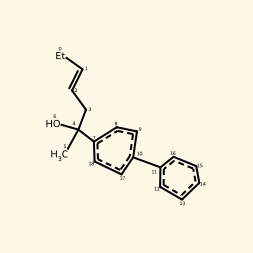 CCC=CCC(C)(O)c1ccc(-c2ccccc2)cc1